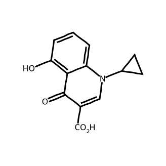 O=C(O)c1cn(C2CC2)c2cccc(O)c2c1=O